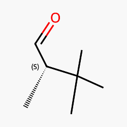 C[C@H](C=O)C(C)(C)C